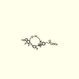 COC(=O)CCc1cccc([C@@]2(C)CCCC(C)(C)CSCCc3c(c(F)c(F)c4[nH]ccc34)Sc3ccc(F)c(c3)-c3nc2nn3C)c1